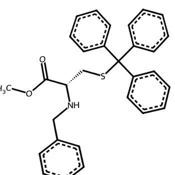 COC(=O)[C@H](CSC(c1ccccc1)(c1ccccc1)c1ccccc1)NCc1ccccc1